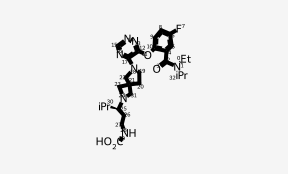 CCN(C(=O)c1cc(F)ccc1Oc1nncnc1N1CCC2(C1)CN([C@@H](CCNC(=O)O)C(C)C)C2)C(C)C